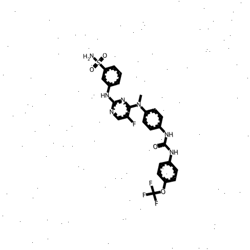 CN(c1ccc(NC(=O)Nc2ccc(OC(F)(F)F)cc2)cc1)c1nc(Nc2cccc(S(N)(=O)=O)c2)ncc1F